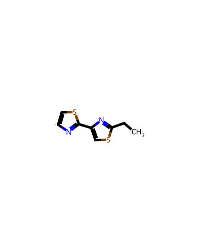 CCc1nc(-c2n[c]cs2)cs1